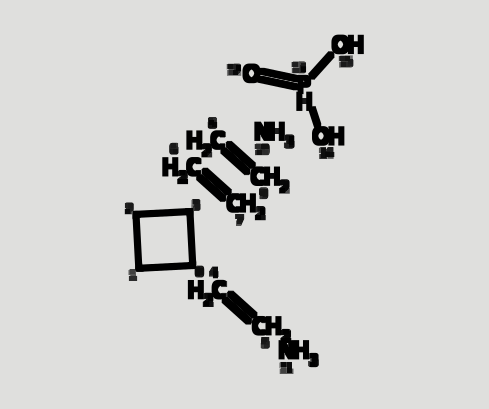 C1CCC1.C=C.C=C.C=C.N.N.O=[PH](O)O